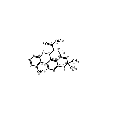 COC(=O)CC1Oc2cccc(OC)c2-c2ccc3c(c21)C(C)=CC(C)(C)N3